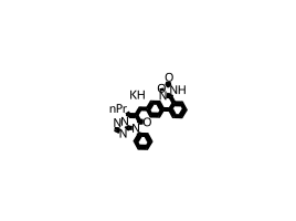 CCCc1c(Cc2ccc(-c3ccccc3-c3noc(=O)[nH]3)cc2)c(=O)n(-c2ccccc2)c2ncnn12.[KH]